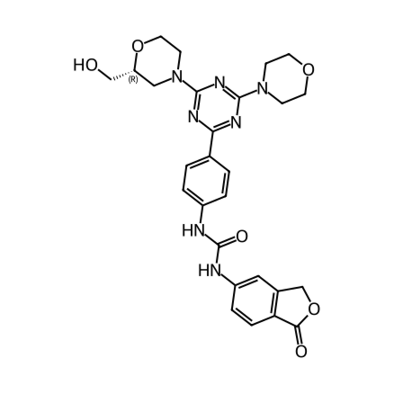 O=C(Nc1ccc(-c2nc(N3CCOCC3)nc(N3CCO[C@@H](CO)C3)n2)cc1)Nc1ccc2c(c1)COC2=O